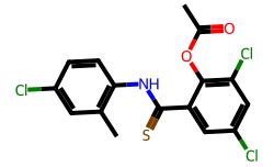 CC(=O)Oc1c(Cl)cc(Cl)cc1C(=S)Nc1ccc(Cl)cc1C